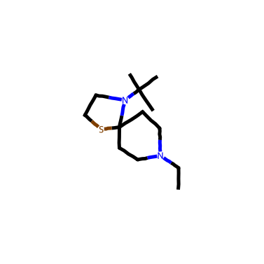 CCN1CCC2(CC1)SCCN2C(C)(C)C